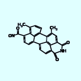 Cc1ccc2c3c(C)cc4c5c(ccc(c6ccc(C(=O)N=O)c1c62)c53)C(=O)NC4=O